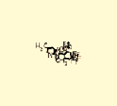 CCS(=O)(=O)c1cc(S(F)(F)(F)(F)F)ccc1-c1nc2cc(C)cnc2n1C